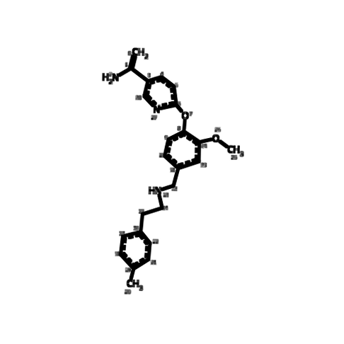 C=C(N)c1ccc(Oc2ccc(CNCCc3ccc(C)cc3)cc2OC)nc1